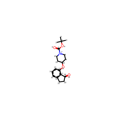 CC(C)(C)OC(=O)N1CCC(Oc2cccc3c2C(=O)CC3)CC1